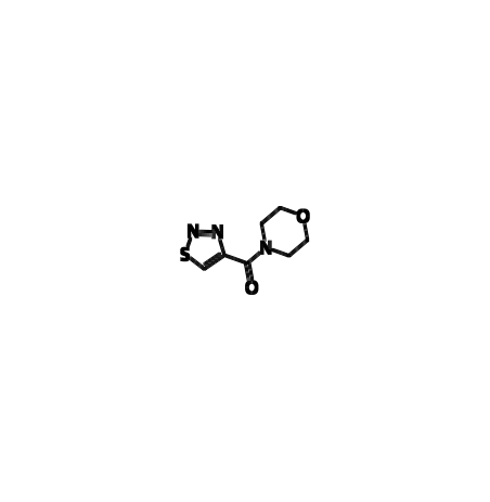 O=C(c1csnn1)N1CCOCC1